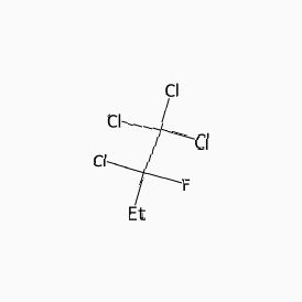 CCC(F)(Cl)C(Cl)(Cl)Cl